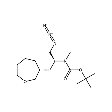 CN(C(=O)OC(C)(C)C)[C@H](CN=[N+]=[N-])C[C@H]1CCCCOC1